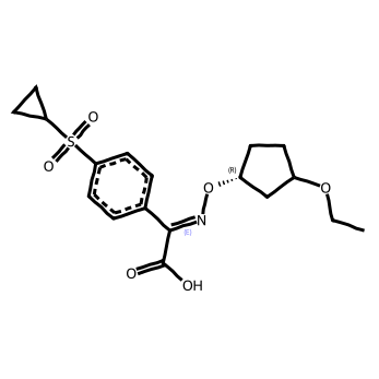 CCOC1CC[C@@H](O/N=C(/C(=O)O)c2ccc(S(=O)(=O)C3CC3)cc2)C1